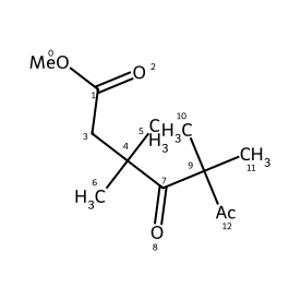 COC(=O)CC(C)(C)C(=O)C(C)(C)C(C)=O